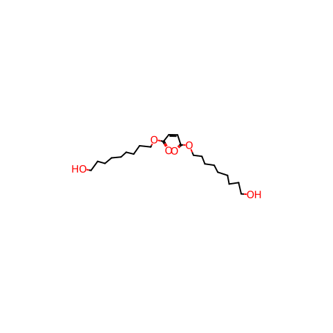 O=C(/C=C\C(=O)OCCCCCCCCCO)OCCCCCCCCCO